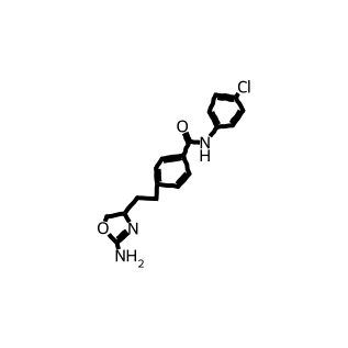 NC1=NC(CCc2ccc(C(=O)Nc3ccc(Cl)cc3)cc2)CO1